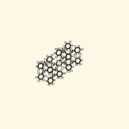 C=C1/C(=C\C2=C(C)N(c3ccccc3)c3c(C#N)c(N(c4ccccc4)c4ccccc4)cc4c3B2c2ccccc2N4c2ccccc2)B2c3ccccc3N(c3ccccc3)c3cc(N(c4ccccc4)c4ccccc4)c(C#N)c(c32)N1c1ccccc1